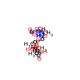 Cc1ccc(OCc2cccc(NC(=O)C(C)NC(=O)C(C)NC(=O)CCN3C(=O)C=CC3=O)c2)c(F)c1C1O[C@@H]2C[C@H]3[C@@H]4CCC5=CC(=O)C=C[C@]5(C)[C@H]4[C@@H](O)C[C@]3(C)[C@]2(C(=O)CO)O1